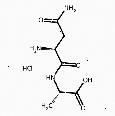 C[C@H](NC(=O)[C@@H](N)CC(N)=O)C(=O)O.Cl